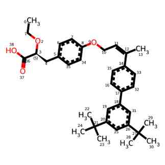 CCO[C@@H](Cc1ccc(OCC=C(C)c2ccc(-c3cc(C(C)(C)C)cc(C(C)(C)C)c3)cc2)cc1)C(=O)O